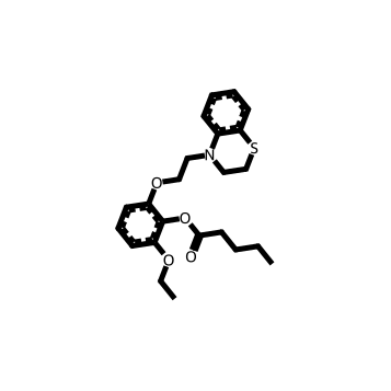 CCCCC(=O)Oc1c(OCC)cccc1OCCN1CCSc2ccccc21